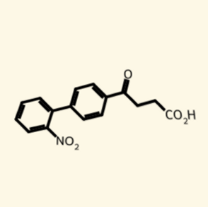 O=C(O)CCC(=O)c1ccc(-c2ccccc2[N+](=O)[O-])cc1